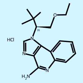 CCOC[C@@H](n1cnc2c(N)nc3ccccc3c21)C(C)(C)C.Cl